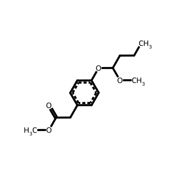 CCCC(OC)Oc1ccc(CC(=O)OC)cc1